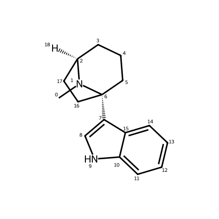 CN1[C@@H]2CCC[C@@]1(c1c[nH]c3ccccc13)CC2